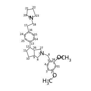 COc1ccc(CN2CC3CCC(c4ccc(CCN5CCCC5)cc4)C3C2)c(OC)c1